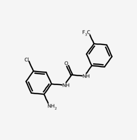 Nc1ccc(Cl)cc1NC(=O)Nc1cccc(C(F)(F)F)c1